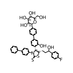 OC[C@H]1O[C@@H](c2ccc(-c3ccc([C@@H]4[C@H](CCC(O)c5ccc(F)cc5)SC(=S)N4c4ccc(-c5ccccc5)cc4)c(O)c3)cc2)[C@H](O)[C@@H](O)[C@@H]1O